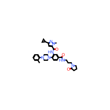 Cc1ccccc1N1CCN(c2ccc(C(=O)NCCCN3CCCC3=O)cc2NC(=O)c2cc(C3CC3)nn2C)CC1